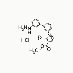 CCOC(=O)c1cnn(-c2cccc(-c3cccc(NN)c3)c2)c1C1CC1.Cl